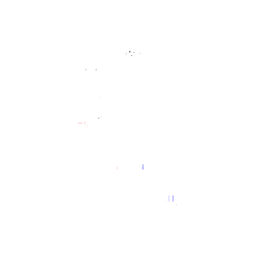 COc1ccc2c(c1C(=O)O)OB(O)C(SCC(=O)N1CCC(N)C1)C2